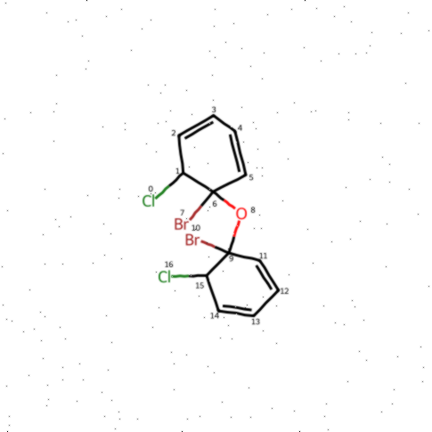 ClC1C=CC=CC1(Br)OC1(Br)C=CC=CC1Cl